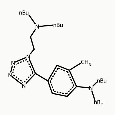 CCCCN(CCCC)CCn1nnnc1-c1ccc(N(CCCC)CCCC)c(C)c1